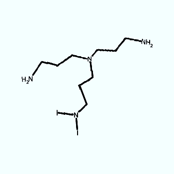 NCCCN(CCCN)CCCN(I)I